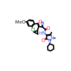 COc1ccc(-c2onc(C(=O)Nc3c(C)n(C)n(C4CCCCC4)c3=O)c2C2CC2)c(Cl)c1